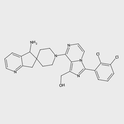 NC1c2cccnc2CC12CCN(c1nccn3c(-c4cccc(Cl)c4Cl)nc(CO)c13)CC2